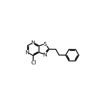 Clc1ncnc2sc(CCc3ccccc3)nc12